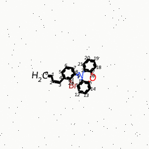 C=C/C=C\c1cccc(N2c3ccccc3Oc3ccccc32)c1Br